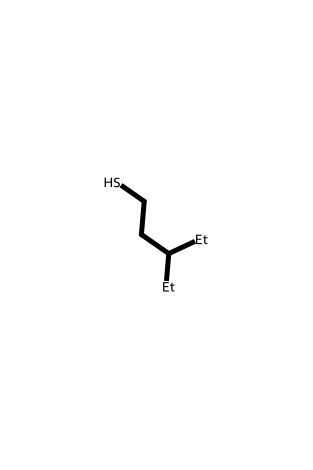 CCC(CC)CCS